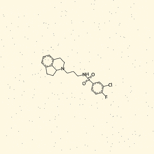 O=S(=O)(NCCCN1CCc2cccc3c2C1CC3)c1ccc(F)c(Cl)c1